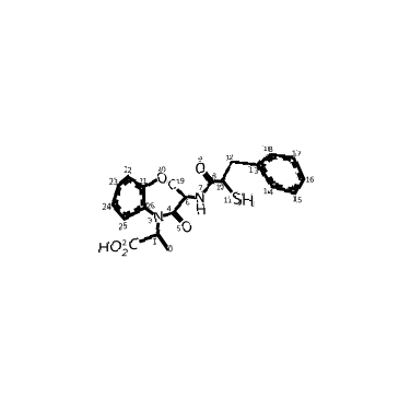 CC(C(=O)O)N1C(=O)C(NC(=O)C(S)Cc2ccccc2)COc2ccccc21